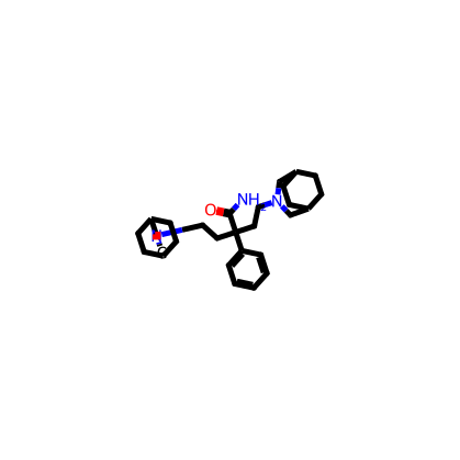 NC(=O)C(CCN1CC2CCC(CC2)C1)(CCN1CC2CCC(CC2)C1)c1ccccc1